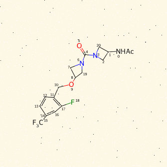 CC(=O)NC1CN(C(=O)N2CC(OCc3ccc(C(F)(F)F)cc3F)C2)C1